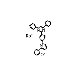 [O-]c1ccccc1-c1cccc(-c2ccc(-c3nc(-c4ccccc4)cc(-c4ccccc4)n3)cc2)n1.[Rb+]